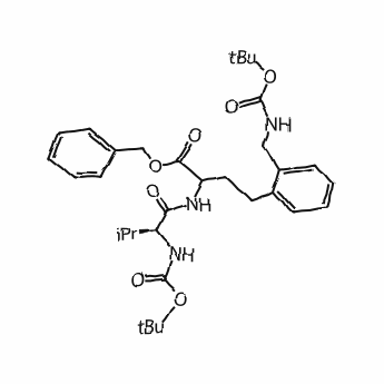 CC(C)[C@H](NC(=O)OC(C)(C)C)C(=O)NC(CCc1ccccc1CNC(=O)OC(C)(C)C)C(=O)OCc1ccccc1